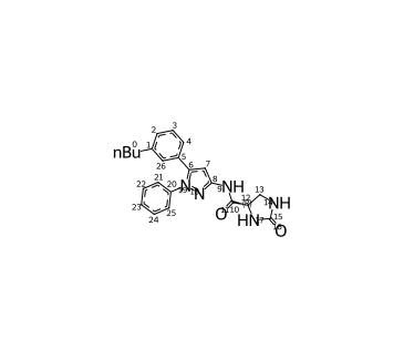 CCCCc1cccc(-c2cc(NC(=O)[C@H]3CNC(=O)N3)nn2-c2ccccc2)c1